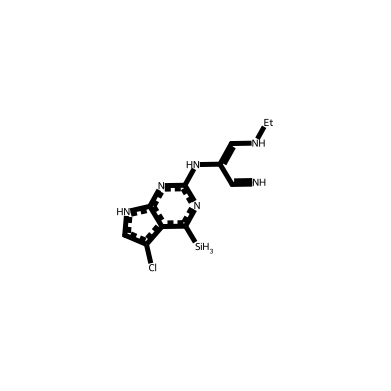 CCN/C=C(\C=N)Nc1nc([SiH3])c2c(Cl)c[nH]c2n1